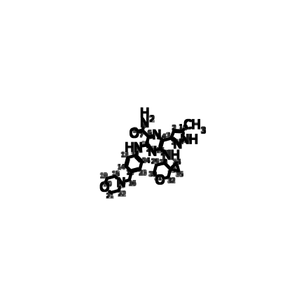 Cc1cc(-c2nc(C(N)=O)c(Nc3ccc(CN4CCOCC4)cc3)nc2NC2CCOCC23CC3)n[nH]1